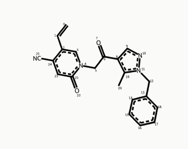 C=Cc1cn(CC(=O)c2cnn(Cc3ccccc3)c2C)c(=O)cc1C#N